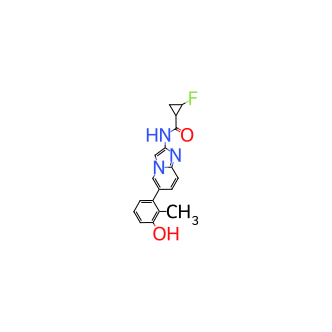 Cc1c(O)cccc1-c1ccc2nc(NC(=O)C3CC3F)cn2c1